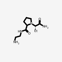 CC[C@@H](C(N)=O)N1CCCC1C(=O)NCCN